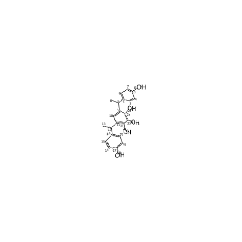 CC(c1ccc(O)cc1)c1cc(C(C)c2ccc(O)cc2)c(O)c(O)c1O